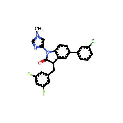 Cn1cnc(N2C(=O)C(Cc3cc(F)cc(F)c3)c3cc(-c4cccc(Cl)c4)ccc32)c1